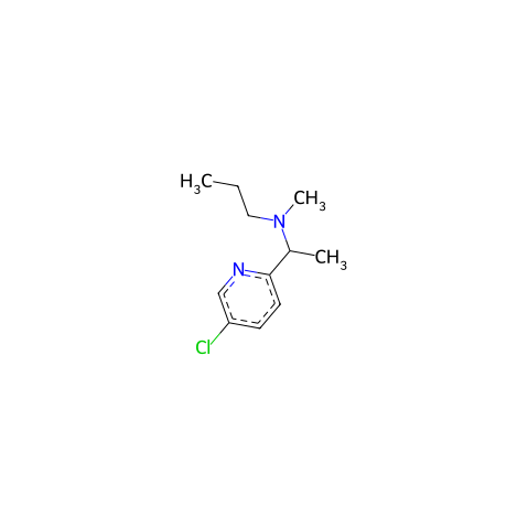 CCCN(C)C(C)c1ccc(Cl)cn1